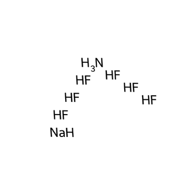 F.F.F.F.F.F.N.[NaH]